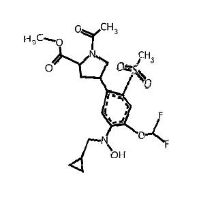 COC(=O)C1CC(c2cc(N(O)CC3CC3)c(OC(F)F)cc2S(C)(=O)=O)CN1C(C)=O